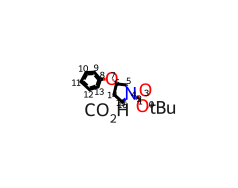 CC(C)(C)OC(=O)N1C[C@@H](Oc2ccccc2)C[C@H]1C(=O)O